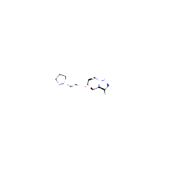 O=C(O)c1cnn2ccc(OCCN3CCCC3)cc12